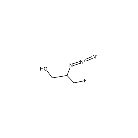 [N-]=[N+]=NC(CO)CF